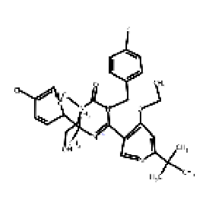 CCOc1cc(C(C)(C)C)ncc1/C(=N/C(C)(C)C1C=CC(Cl)=CC1)N(Cc1ccc(Cl)cc1)C(=O)N(C)CCO